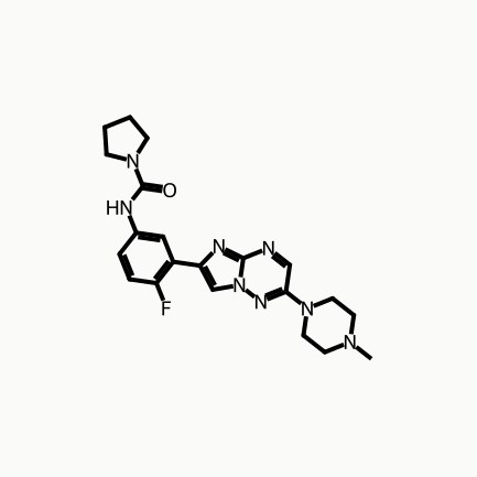 CN1CCN(c2cnc3nc(-c4cc(NC(=O)N5CCCC5)ccc4F)cn3n2)CC1